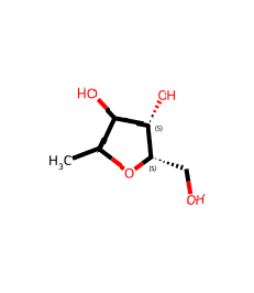 CC1O[C@@H](CO)[C@@H](O)C1O